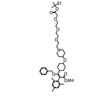 CCC(C)(C)OC(=O)COCCOCCOCCN1CCC(OC2CCC(/C(OCc3ccccc3)=C(\C(=O)OC)c3c(C)cc(C)cc3C)CC2)CC1